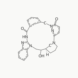 O=C1Nc2nc3ccccc3n2CC(O)[C@@H]2CCCN(C2)c2ccc(=O)n(n2)Cc2cccc1c2